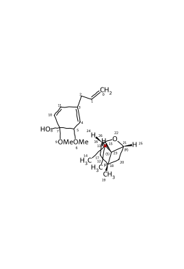 C=CCC1=CC(OC)C(O)(OC)C=C1.CC1(C)O[C@@H]2C[C@@]3(C)C[C@@H](O2)[C@@H]13